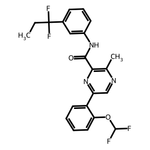 CCC(F)(F)c1cccc(NC(=O)c2nc(-c3ccccc3OC(F)F)cnc2C)c1